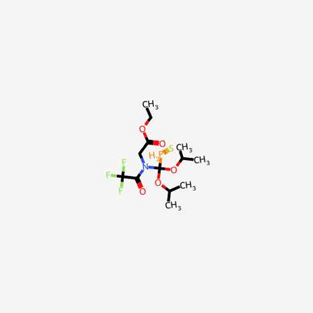 CCOC(=O)CN(C(=O)C(F)(F)F)C(OC(C)C)(OC(C)C)[PH2]=S